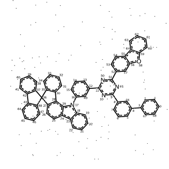 c1ccc(-c2cccc(-c3nc(-c4cccc(-n5c6ccccc6c6ccc7c(c65)-c5ccccc5C75c6ccccc6-c6ccccc65)c4)nc(-c4ccc5c(c4)oc4ccccc45)n3)c2)cc1